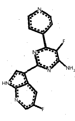 Nc1nc(-c2c[nH]c3ncc(F)cc23)nc(-c2ccncc2)c1F